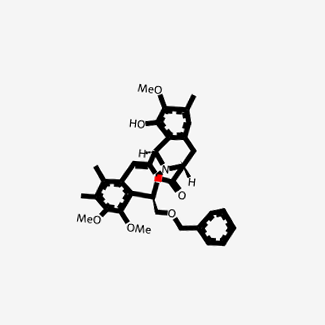 COc1c(C)cc2c(c1O)[C@@H]1C3=Cc4c(C)c(C)c(OC)c(OC)c4[C@H](COCc4ccccc4)N3C(=O)[C@@H](C2)N1C